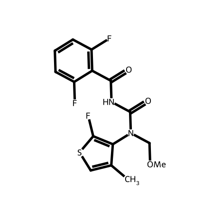 COCN(C(=O)NC(=O)c1c(F)cccc1F)c1c(C)csc1F